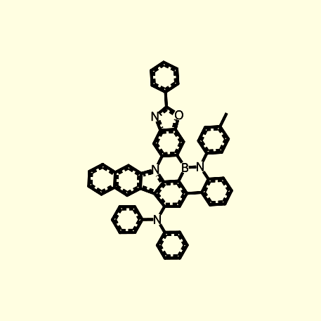 Cc1ccc(N2B3c4cc5oc(-c6ccccc6)nc5cc4-n4c5cc6ccccc6cc5c5c(N(c6ccccc6)c6ccccc6)cc(c3c54)-c3ccccc32)cc1